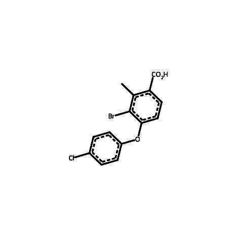 Cc1c(C(=O)O)ccc(Oc2ccc(Cl)cc2)c1Br